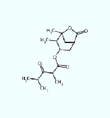 CC(C)C(=O)C(C)C(=O)OC1CC2CC(C)(OC2=O)C1C